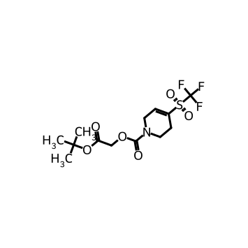 CC(C)(C)OC(=O)COC(=O)N1CC=C(S(=O)(=O)C(F)(F)F)CC1